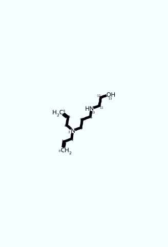 C=CCN(CC=C)CCCNCCO